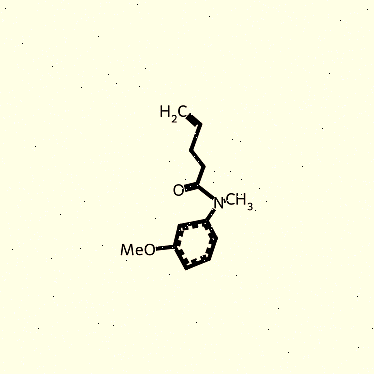 C=CCCC(=O)N(C)c1cccc(OC)c1